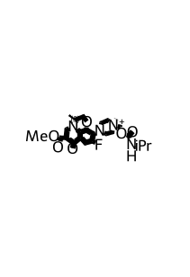 COC(=O)c1cn2c3c(c(N4CC[N+](C)(COC(=O)NC(C)C)CC4)c(F)cc3c1=O)OC[C@@H]2C